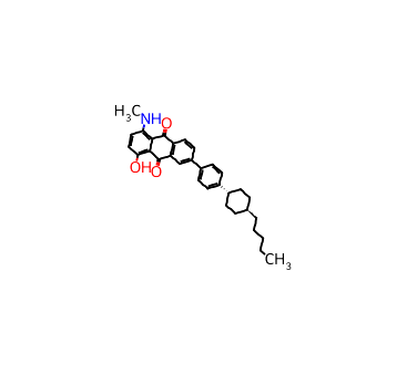 CCCCC[C@H]1CC[C@H](c2ccc(-c3ccc4c(c3)C(=O)c3c(O)ccc(NC)c3C4=O)cc2)CC1